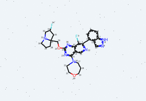 Fc1c(-c2cccc3[nH]ncc23)ncc2c(N3CCCOCC3)nc(OCC34CCCN3CC(F)C4)nc12